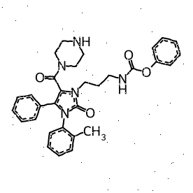 Cc1ccccc1-n1c(-c2ccccc2)c(C(=O)N2CCNCC2)n(CCCNC(=O)Oc2ccccc2)c1=O